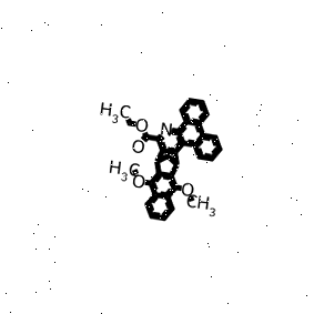 CCOC(=O)c1nc2c3ccccc3c3ccccc3c2c2c1C1CC2c2c1c(OC)c1ccccc1c2OC